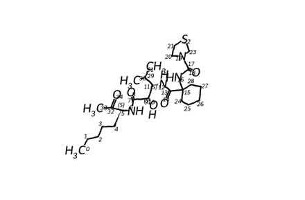 CCCCC[C@H](NC(=O)[C@@H](O)[C@@H](NC(=O)C1(NC(=O)N2CCSC2)CCCCC1)C(C)C)C(C)=O